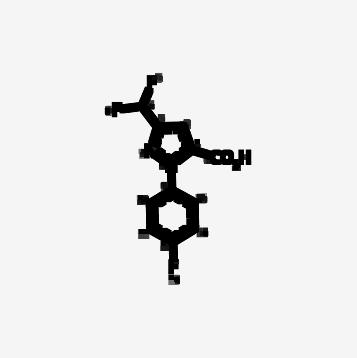 O=C(O)c1cc(C(F)F)nn1-c1ccc(F)cc1